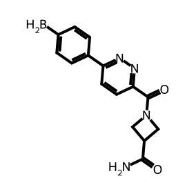 Bc1ccc(-c2ccc(C(=O)N3CC(C(N)=O)C3)nn2)cc1